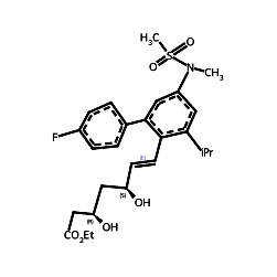 CCOC(=O)C[C@H](O)C[C@H](O)/C=C/c1c(-c2ccc(F)cc2)cc(N(C)S(C)(=O)=O)cc1C(C)C